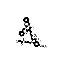 CC1(C)/C(=C\C=C\C=C2C(=O)N(Cc3ccccc3)C(=S)N(Cc3ccccc3)C2=O)N(CCCNC(=O)CCl)c2ccc(S(=O)(=O)O)cc21